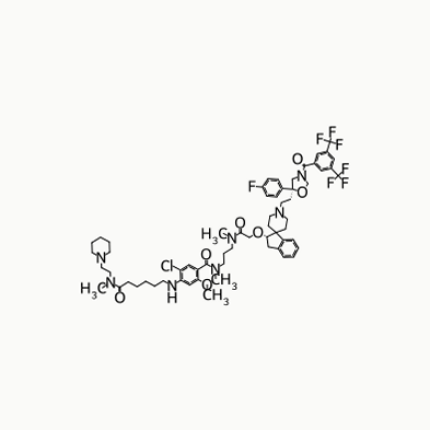 COc1cc(NCCCCCC(=O)N(C)CCN2CCCCC2)c(Cl)cc1C(=O)N(C)CCCN(C)C(=O)CO[C@H]1Cc2ccccc2C12CCN(CC[C@]1(c3ccc(F)cc3)CN(C(=O)c3cc(C(F)(F)F)cc(C(F)(F)F)c3)CO1)CC2